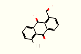 Cc1cccc2c1C(=O)c1cccc(C=O)c1C2=O